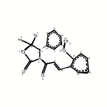 [2H]C1([2H])OC(=O)N(C(=O)/C=C/c2ccccc2OC(F)(F)F)[C@H]1c1ccccc1